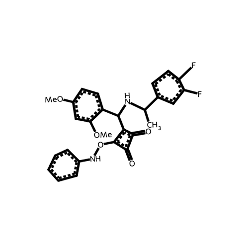 COc1ccc(C(NC(C)c2ccc(F)c(F)c2)c2c(ONc3ccccc3)c(=O)c2=O)c(OC)c1